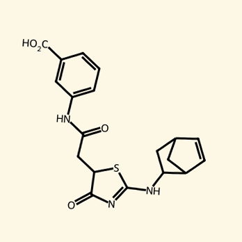 O=C(CC1SC(NC2CC3C=CC2C3)=NC1=O)Nc1cccc(C(=O)O)c1